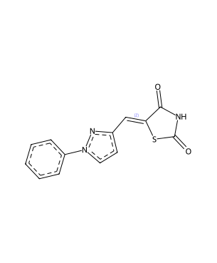 O=C1NC(=O)/C(=C/c2ccn(-c3ccccc3)n2)S1